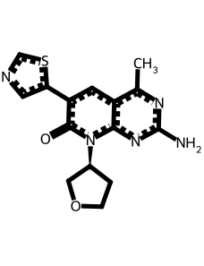 Cc1nc(N)nc2c1cc(-c1cncs1)c(=O)n2[C@H]1CCOC1